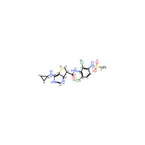 CCCS(=O)(=O)Nc1ccc(Cl)c(NC(=O)C2CSc3c(NC4CC4)ncnc32)c1Cl